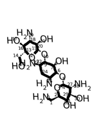 NC[C@H]1O[C@H](O[C@H]2[C@H](O)[C@@H](O[C@@H]3O[C@H](CO)[C@@H](O)[C@H](N)[C@H]3O)[C@H](N)C[C@@H]2N)[C@H](N)[C@@H](O)[C@@H]1O